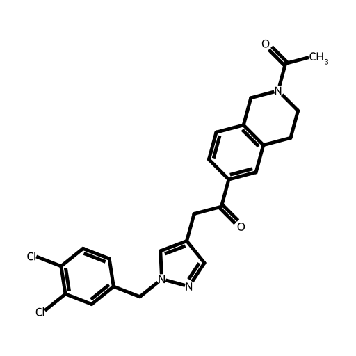 CC(=O)N1CCc2cc(C(=O)Cc3cnn(Cc4ccc(Cl)c(Cl)c4)c3)ccc2C1